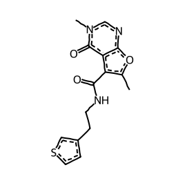 Cc1oc2ncn(C)c(=O)c2c1C(=O)NCCc1ccsc1